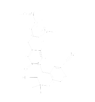 CC1(C)Oc2ccc(C#N)cc2C(n2ccc(CC(CO[N+](=O)[O-])O[N+](=O)[O-])cc2=O)C1O